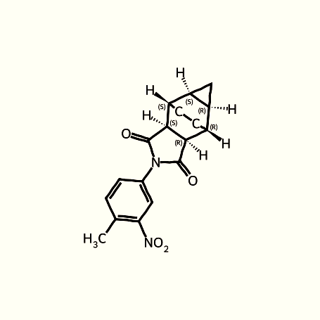 Cc1ccc(N2C(=O)[C@@H]3[C@@H]4CC[C@@H]([C@H]5C[C@H]54)[C@@H]3C2=O)cc1[N+](=O)[O-]